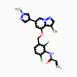 C=CC(=O)Nc1c(Cl)ccc(COc2cc(-c3cnn(C)c3)cn3ncc(C#N)c23)c1F